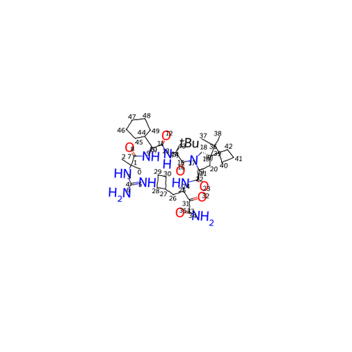 CC(C)(NC(=N)N)C(=O)N[C@H](C(=O)N[C@H](C(=O)N1C[C@]2(C[C@H]1C(=O)NC(CC1CCC1)C(=O)C(N)=O)C(C)(C)C21CCC1)C(C)(C)C)C1CCCCC1